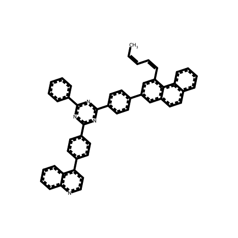 C/C=C\C=C/c1cc(-c2ccc(-c3nc(-c4ccccc4)nc(-c4ccc(-c5ccnc6ccccc56)cc4)n3)cc2)cc2ccc3ccccc3c12